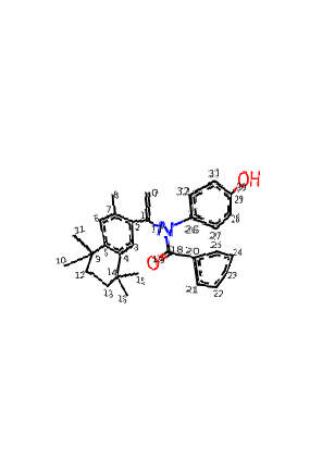 C=C(c1cc2c(cc1C)C(C)(C)CCC2(C)C)N(C(=O)c1ccccc1)c1ccc(O)cc1